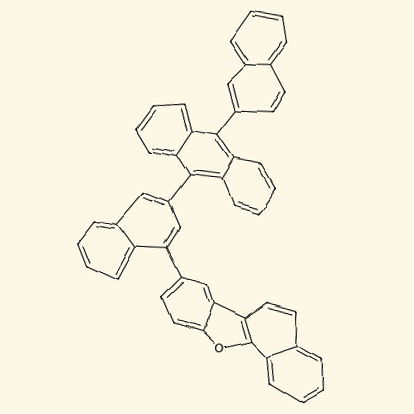 c1ccc2cc(-c3c4ccccc4c(-c4cc(-c5ccc6oc7c8ccccc8ccc7c6c5)c5ccccc5c4)c4ccccc34)ccc2c1